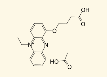 CC(=O)O.CC[n+]1c2ccccc2nc2c(OCCCC(=O)O)cccc21